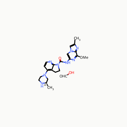 COc1nc(NC(=O)N2CCc3c(N4CCN[C@H](C)C4)ccnc32)cn2cc(C)nc12.O=CO